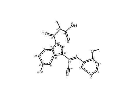 COc1ccncc1C=C(C#N)c1cn(C(=O)C(C)C(=O)O)c2ccc(Br)cc12